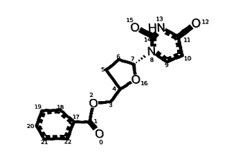 O=C(OCC1CC[C@H](n2ccc(=O)[nH]c2=O)O1)c1ccccc1